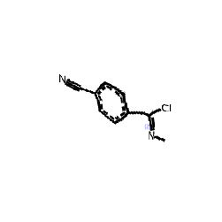 C/N=C(\Cl)c1ccc(C#N)cc1